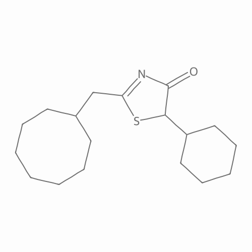 O=C1N=C(CC2CCCCCCC2)SC1C1CCCCC1